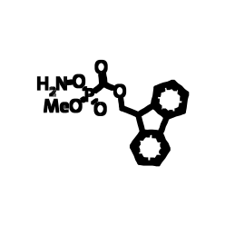 COP(=O)(ON)C(=O)OCC1c2ccccc2-c2ccccc21